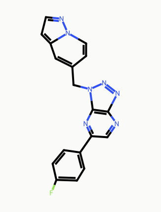 Fc1ccc(-c2cnc3nnn(Cc4ccn5nccc5c4)c3n2)cc1